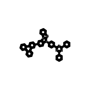 c1ccc(-c2nc(-c3ccccc3)nc(-c3ccc(-n4c5ccc(-c6ccc7c8ccccc8c8ccccc8c7c6)cc5n5c6ccccc6nc45)cc3)n2)cc1